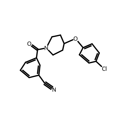 N#Cc1cccc(C(=O)N2CCC(Oc3ccc(Cl)cc3)CC2)c1